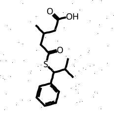 CC(CC(=O)O)CC(=O)SC(c1ccccc1)C(C)C